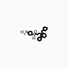 N[C@H]1CC[C@H](NC(=O)CCC2CC3(c4ccccc4)CCCC(C3)/C2=C\c2ccccc2)CC1